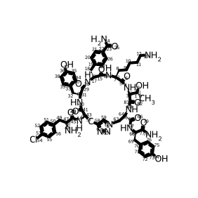 C[C@@H](O)[C@@H]1NC(=O)[C@H](CCCCCN)NC(=O)[C@@H](Cc2ccc(C(N)=O)cc2)NC(=O)[C@H](Cc2ccc(O)cc2)NC(=O)[C@H](NC(=O)[C@@H](N)Cc2ccc(Cl)cc2)Cc2cn(nn2)C[C@@H](C(=O)N[C@H](Cc2ccc(O)cc2)C(N)=O)NC1=O